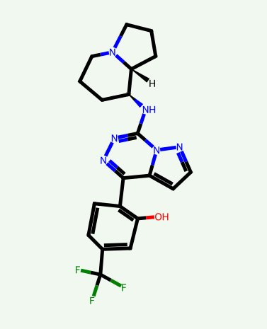 Oc1cc(C(F)(F)F)ccc1-c1nnc(N[C@H]2CCCN3CCC[C@H]23)n2nccc12